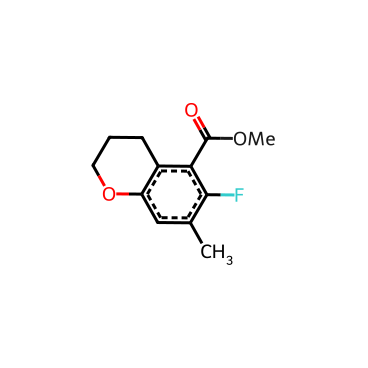 COC(=O)c1c(F)c(C)cc2c1CCCO2